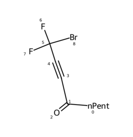 CCCCCC(=O)C#CC(F)(F)Br